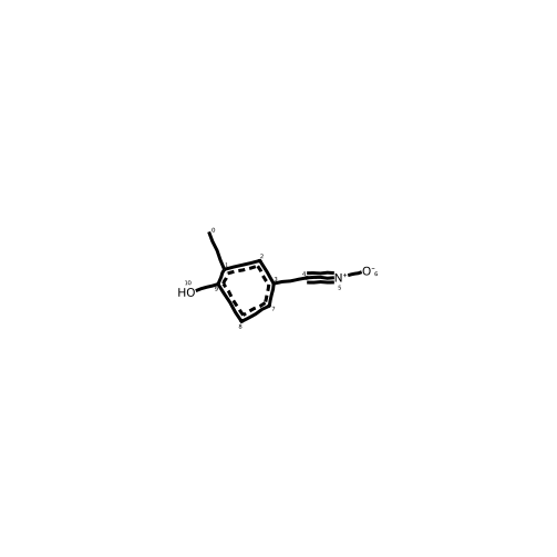 Cc1cc(C#[N+][O-])ccc1O